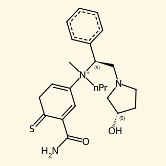 CCC[N+](C)(C1=CCC(=S)C(C(N)=O)=C1)[C@H](CN1CC[C@H](O)C1)c1ccccc1